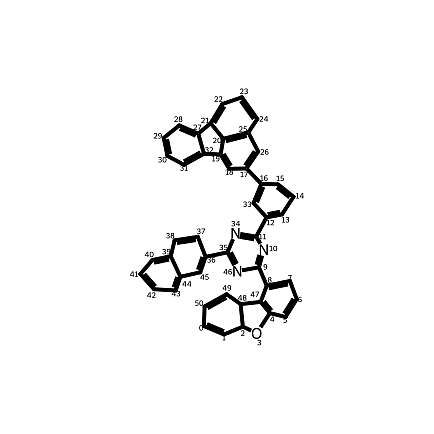 C1=CC2Oc3cccc(-c4nc(-c5cccc(-c6cc7c8c(cccc8c6)-c6ccccc6-7)c5)nc(-c5ccc6ccccc6c5)n4)c3C2C=C1